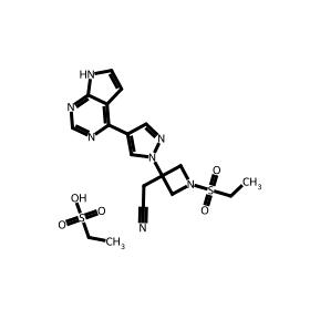 CCS(=O)(=O)N1CC(CC#N)(n2cc(-c3ncnc4[nH]ccc34)cn2)C1.CCS(=O)(=O)O